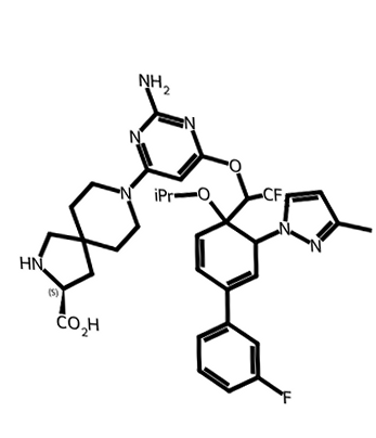 Cc1ccn(C2C=C(c3cccc(F)c3)C=CC2(OC(C)C)C(Oc2cc(N3CCC4(CC3)CN[C@H](C(=O)O)C4)nc(N)n2)C(F)(F)F)n1